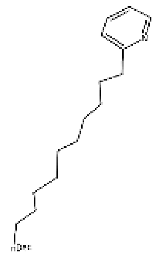 CCCCCCCCCCCCCCCCCCCCc1ccccn1